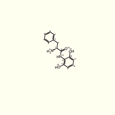 N[C@@H](Cc1ccccc1)C(=O)Nc1c(O)cccc1O